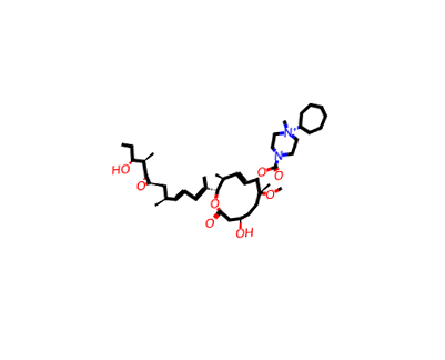 CC[C@H](O)[C@@H](C)[C@H]1O[C@@H]1C[C@H](C)/C=C/C=C(\C)[C@H]1OC(=O)C[C@H](O)CC[C@@](C)(OC)[C@@H](OC(=O)N2CC[N+](C)(C3CCCCCC3)CC2)/C=C/[C@@H]1C